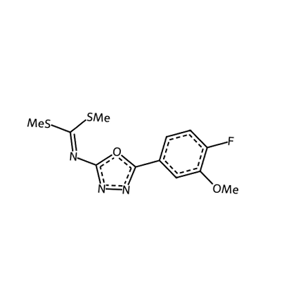 COc1cc(-c2nnc(N=C(SC)SC)o2)ccc1F